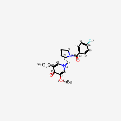 CCCCOc1cn(C[C@@H]2CCCN2C(=O)c2ccc(F)cc2)cc(C(=O)OCC)c1=O